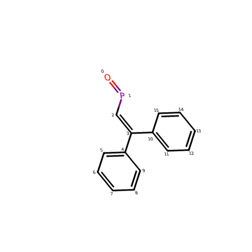 O=PC=C(c1ccccc1)c1ccccc1